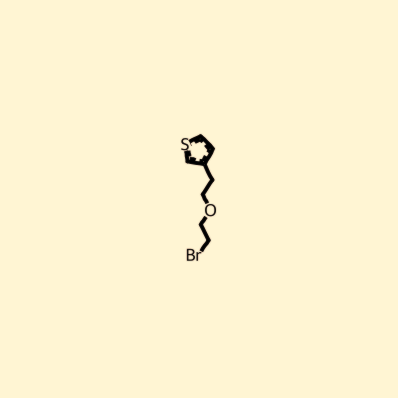 BrCCOCCc1ccsc1